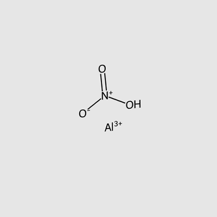 O=[N+]([O-])O.[Al+3]